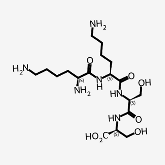 NCCCC[C@H](NC(=O)[C@@H](N)CCCCN)C(=O)N[C@@H](CO)C(=O)N[C@@H](CO)C(=O)O